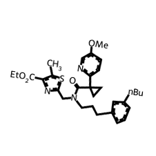 CCCCc1cccc(CCCN(Cc2nc(C(=O)OCC)c(C)s2)C(=O)C2(c3ccc(OC)cn3)CC2)c1